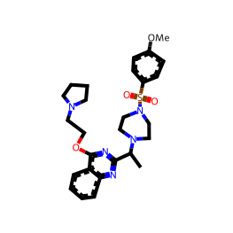 COc1ccc(S(=O)(=O)N2CCN(C(C)c3nc(OCCN4CCCC4)c4ccccc4n3)CC2)cc1